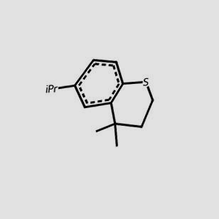 CC(C)c1ccc2c(c1)C(C)(C)CCS2